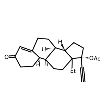 C#C[C@]1(OC(C)=O)CC[C@H]2[C@@H]3CCC4=CC(=O)CC[C@@H]4[C@H]3CCC21CC